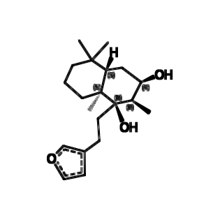 C[C@@H]1[C@H](O)C[C@H]2C(C)(C)CCC[C@]2(C)[C@@]1(O)CCc1ccoc1